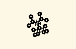 c1ccc(-c2cc(-c3ccccc3)cc(-c3nc(-c4cc(-c5ccccc5)cc(-c5ccccc5)c4)nc(-c4cc5c6c(c4)N(c4ccccc4)c4c(ccc7ccccc47)B6c4ccc6ccccc6c4N5c4ccccc4)n3)c2)cc1